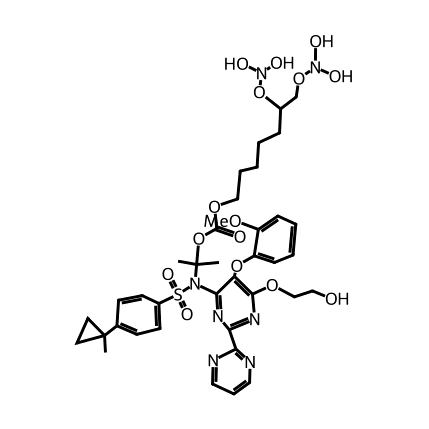 COc1ccccc1Oc1c(OCCO)nc(-c2ncccn2)nc1N(C(C)(C)OC(=O)OCCCCCC(CON(O)O)ON(O)O)S(=O)(=O)c1ccc(C2(C)CC2)cc1